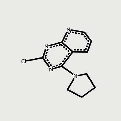 Clc1nc(N2CCCC2)c2cccnc2n1